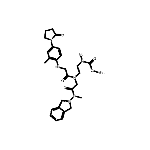 CCN(CCN(CC(=O)N(C)N1Cc2ccccc2C1)C(=O)CNc1ccc(N2CCCC2=O)cc1C)C(=O)OC(C)(C)C